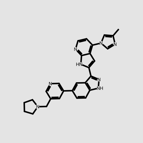 Cc1cn(-c2ccnc3[nH]c(-c4n[nH]c5ccc(-c6cncc(CN7CCCC7)c6)cc45)cc23)cn1